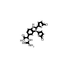 N=C(N)NC(C(=O)O)c1ccc2c(c1)N(c1ccc(Cl)s1)C(c1ccc(Cl)s1)N2